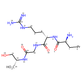 CC(C)C[C@H](N)C(=O)N[C@@H](CCCNC(=N)N)C(=O)NCC(=O)N[C@@H](CO)C(=O)O